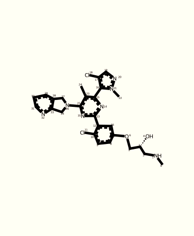 CNC[C@@H](O)COc1ccc(Cl)c(-c2nc(-c3c(Cl)cnn3C)c(C)c(N3Cc4cccnc4C3)n2)c1